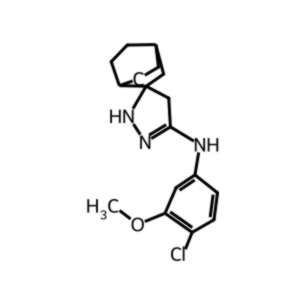 COc1cc(NC2=NNC3(C2)CC2CCC3CC2)ccc1Cl